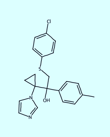 Cc1ccc(C(O)(CSc2ccc(Cl)cc2)C2(n3ccnc3)CC2)cc1